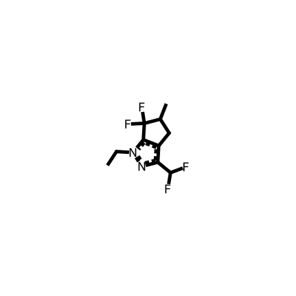 CCn1nc(C(F)F)c2c1C(F)(F)C(C)C2